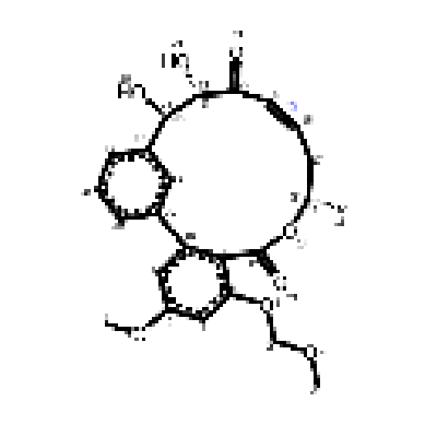 COCOc1cc(OC)cc2c1C(=O)O[C@@H](C)C/C=C\C(=O)[C@@H](O)[C@H](O)c1cccc-2c1